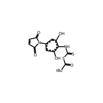 CC(C)(C)C(=O)SC(=S)Nc1c(O)cc(N2C(=O)C=CC2=O)cc1O